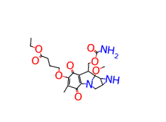 CCOC(=O)CCCOC1=C(C)C(=O)C2=C(C1=O)C(COC(N)=O)C1(OC)C3NC3CN21